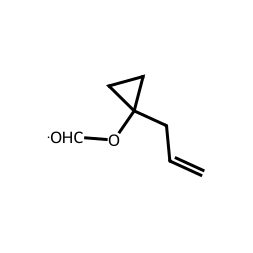 C=CCC1(O[C]=O)CC1